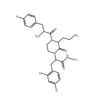 CCCC1C(=O)N(C(Cc2ccc(Cl)cc2Cl)C(=O)NC)CCN1C(=O)C(N)Cc1ccc(F)cc1